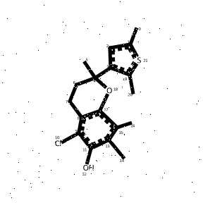 Cc1cc(C2(C)CCc3c(Cl)c(O)c(C)c(C)c3O2)c(C)s1